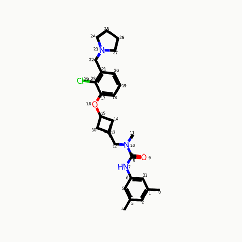 Cc1cc(C)cc(NC(=O)N(C)CC2CC(Oc3cccc(CN4CCCC4)c3Cl)C2)c1